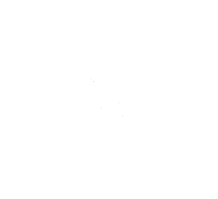 NCC(c1ccc(Cl)cc1)C1CCOCC1